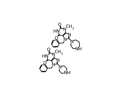 Cn1c(=O)[nH]c(=O)c2c1nc(N1CCCNCC1)n2Cc1ccccc1.Cn1c(=O)[nH]c(=O)c2c1nc(N1CCNCC1)n2Cc1ccccc1